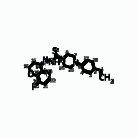 C=Cc1ccc(N2CCN(C(=S)N/N=C3/CCOc4c(F)ccnc43)CC2)cc1